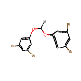 CCC(Oc1cc(Br)cc(Br)c1)Oc1cc(Br)cc(Br)c1